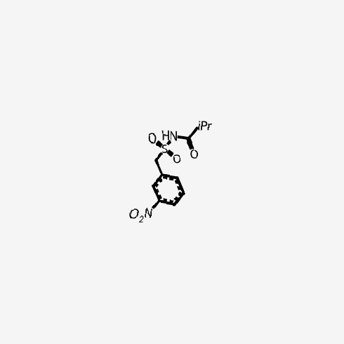 CC(C)C(=O)NS(=O)(=O)Cc1cccc([N+](=O)[O-])c1